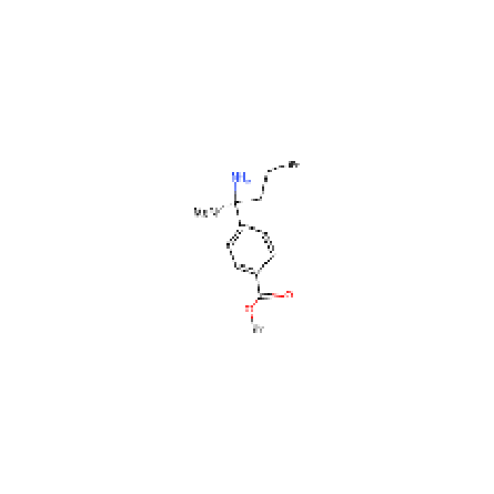 CN[C@](N)(CCC(C)C)c1ccc(C(=O)OC(C)C)cc1